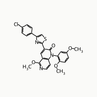 COc1ccc(OC)c(-n2c(=O)c(-c3nc(-c4ccc(Cl)cc4)cs3)cc3c(OC)nccc32)c1